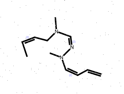 C=C/C=C\N(C)/N=C\N(C)C/C=C\C